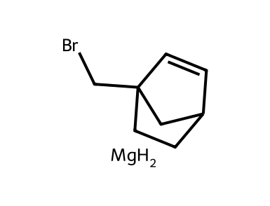 BrCC12C=CC(CC1)C2.[MgH2]